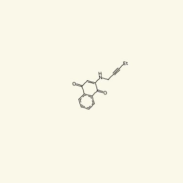 CCC#CCNC1=CC(=O)c2ccccc2C1=O